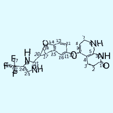 O=C1CCC2=C(NCC=C2Oc2ccc3c(c2)C2C(O3)C2C2NC=C(C(F)(F)F)N2)N1